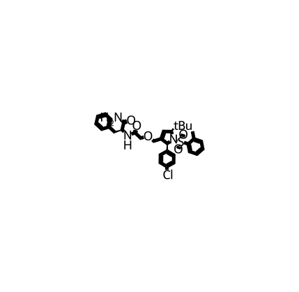 Cc1ccccc1S(=O)(=O)N1[C@@H](c2ccc(Cl)cc2)C(COCC(=O)N[C@@H](Cc2ccccc2)C(N)=O)=C[C@H]1C(C)(C)C